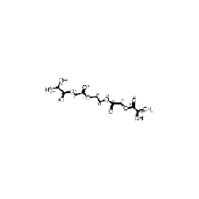 CC(O)C(=O)OCC(=O)OCCOC(=O)COC(=O)C(C)O